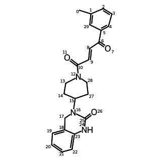 Cc1cccc(C(=O)C=CC(=O)N2CCC(N3Cc4ccccc4NC3=O)CC2)c1